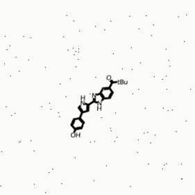 CC(C)(C)C(=O)c1ccc2[nH]c(-c3cc(-c4ccc(O)cc4)c[nH]3)nc2c1